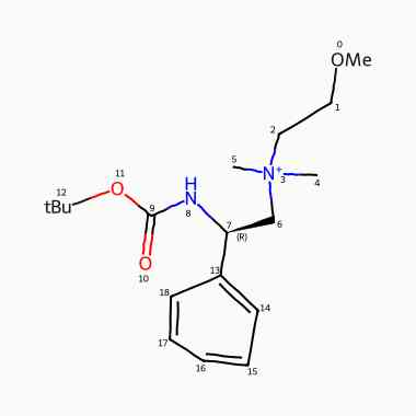 COCC[N+](C)(C)C[C@H](NC(=O)OC(C)(C)C)c1ccccc1